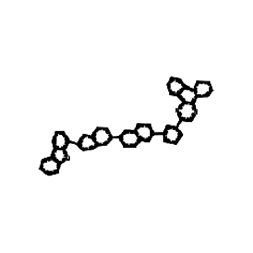 c1cc(-c2ccc3cc(-c4ccc5cc(-c6cccc7c6oc6ccccc67)ccc5c4)ccc3c2)cc(-c2cnc3c4ccccc4c4ccccc4c3n2)c1